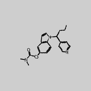 CCCC(c1ccncc1)n1ccc2cc(OC(=O)N(C)C)ccc21